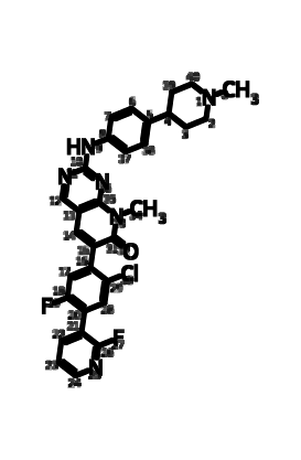 CN1CCC(c2ccc(Nc3ncc4cc(-c5cc(F)c(-c6cccnc6F)cc5Cl)c(=O)n(C)c4n3)cc2)CC1